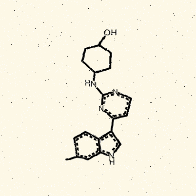 Cc1ccc2c(-c3ccnc(NC4CCC(O)CC4)n3)c[nH]c2c1